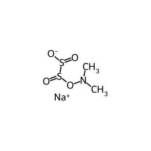 CN(C)OS(=O)S(=O)[O-].[Na+]